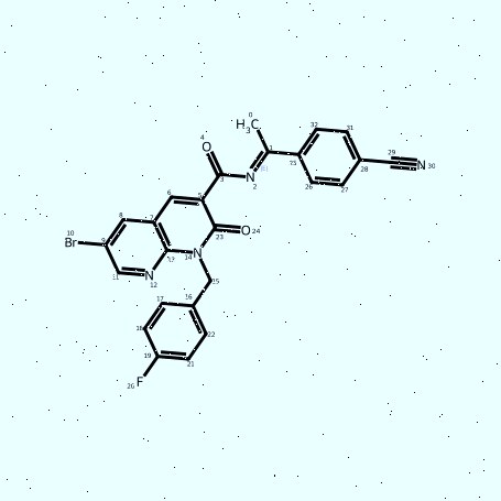 C/C(=N\C(=O)c1cc2cc(Br)cnc2n(Cc2ccc(F)cc2)c1=O)c1ccc(C#N)cc1